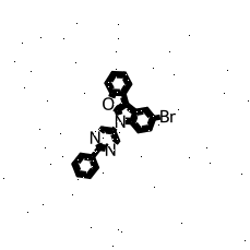 Brc1ccc2c(c1)c1c3ccccc3oc1n2-c1cnc(-c2ccccc2)nc1